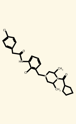 CC1CN(Cc2cccc(NC(=O)Cc3ccc(Cl)cc3)c2Cl)CC(C)N1C(=O)C1CCCC1